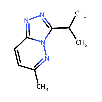 Cc1ccc2nnc(C(C)C)n2n1